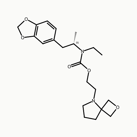 CCN(C(=O)OCCN1CCCC12COC2)[C@@H](C)Cc1ccc2c(c1)OCO2